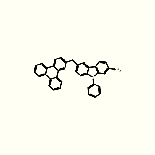 Nc1ccc2c3cc(Cc4ccc5c6ccccc6c6ccccc6c5c4)ccc3n(-c3ccccc3)c2c1